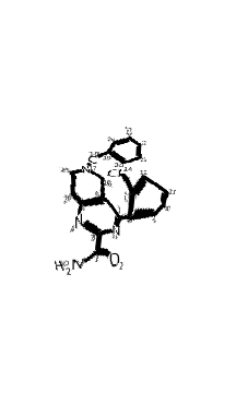 NC(=O)c1nc2c(c(-c3ccccc3Cl)n1)CN(Cc1ccccc1)CC2